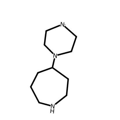 C1CNCCC(N2CC[N]CC2)C1